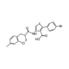 Cc1ccc(CC(F)C(=O)Nc2csc(-c3ccc(Br)cc3)c2C(=O)O)c(Cl)c1